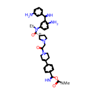 CCN(C(=O)[C@@H]1CCN(CC(=O)N2CC=C(c3ccc(C(=N)OC(=O)NC)cc3)CC2)C1)c1ccc(N)c(C(=N)c2cccc(N)c2)c1